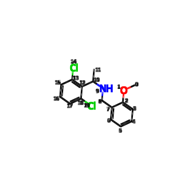 COc1ccccc1CNC(C)c1c(Cl)cccc1Cl